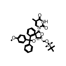 COc1ccc(C(O[C@@H]2C[C@H](n3cc(C)c(=O)[nH]c3=O)O[C@@H]2CO[Si](C)(C)C(C)(C)C)(c2ccccc2)c2ccccc2)cc1